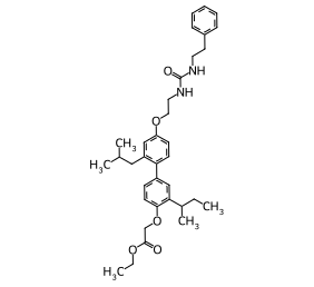 CCOC(=O)COc1ccc(-c2ccc(OCCNC(=O)NCCc3ccccc3)cc2CC(C)C)cc1C(C)CC